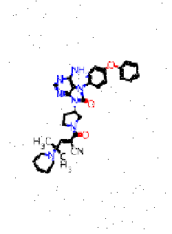 CC(C)(C=C(C#N)C(=O)N1CC[C@H](n2c(=O)n(-c3ccc(Oc4ccccc4)cc3)c3c(N)ncnc32)C1)N1CCCCC1